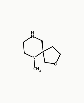 CN1CCNC[C@]12CCOC2